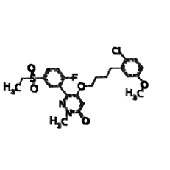 CCS(=O)(=O)c1ccc(F)c(-c2nn(C)c(=O)cc2OCCCCc2cc(OC)ccc2Cl)c1